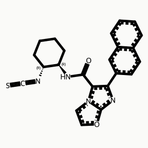 O=C(N[C@@H]1CCCC[C@H]1N=C=S)c1c(-c2ccc3ccccc3c2)nc2occn12